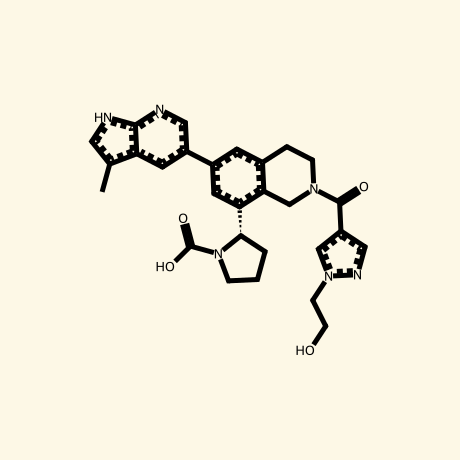 Cc1c[nH]c2ncc(-c3cc4c(c([C@@H]5CCCN5C(=O)O)c3)CN(C(=O)c3cnn(CCO)c3)CC4)cc12